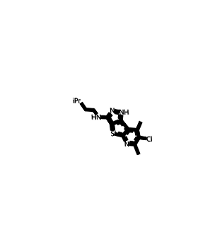 Cc1nc2sc3c(NCCC(C)C)n[nH]c3c2c(C)c1Cl